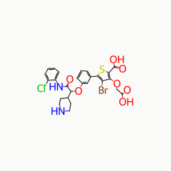 O=C(O)COc1c(C(=O)O)sc(-c2cccc(OC(C(=O)Nc3ccccc3Cl)C3CCNCC3)c2)c1Br